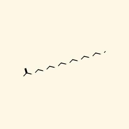 COCOCOCOCOCOCOC(C)=O